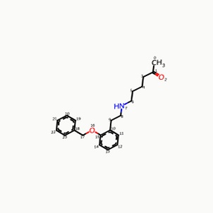 CC(=O)CCCCNCCc1ccccc1OCc1ccccc1